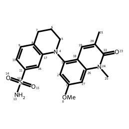 COc1cc(N2CCCc3ccc(S(N)(=O)=O)cc32)c2cc(C)c(=O)n(C)c2c1